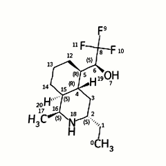 CC[C@H]1C[C@H]2[C@H]([C@H](O)C(F)(F)F)CCC[C@@H]2[C@H](C)N1